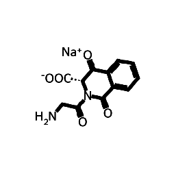 NCC(=O)N1C(=O)c2ccccc2C(=O)[C@H]1C(=O)[O-].[Na+]